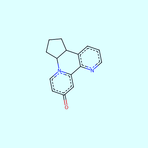 O=c1ccn2c(c1)-c1ncccc1C1CCCC12